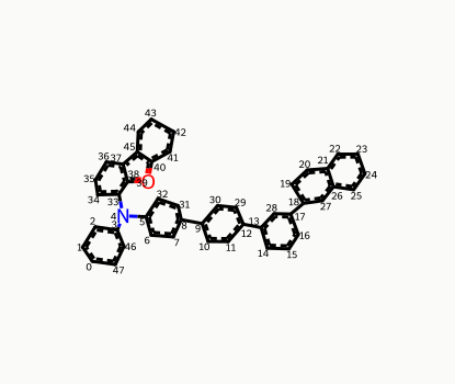 c1ccc(N(c2ccc(-c3ccc(-c4cccc(-c5ccc6ccccc6c5)c4)cc3)cc2)c2cccc3c2oc2ccccc23)cc1